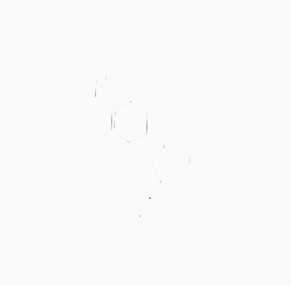 CC(O)(CCC(C)(C)[Si](C)(C)O)[C@@H]1CC=C(CO)CC1